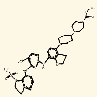 CC(C)(C)OC(=O)N1CCN(C2CCN(c3ccc(Nc4ncc(Cl)c(Nc5cccc6c5N(S(C)(=O)=O)CC6)n4)c4c3CCO4)CC2)CC1